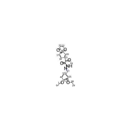 CCOc1ccc(/C=N/NC(=O)C(OC)c2ccc3c(c2)OCCO3)cc1OCC